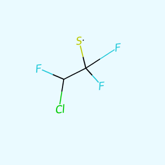 FC(Cl)C(F)(F)[S]